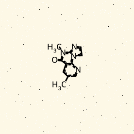 Cc1cnc2c(c1)c(=O)n(C)c1nccn21